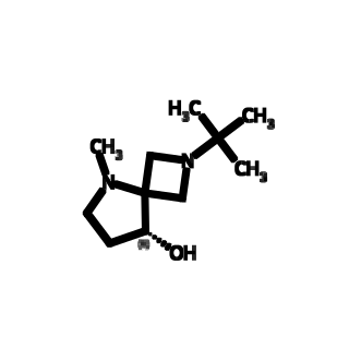 CN1CC[C@@H](O)C12CN(C(C)(C)C)C2